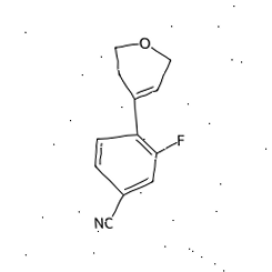 N#Cc1ccc(C2=CCOCC2)c(F)c1